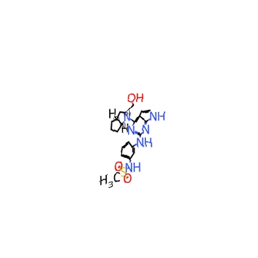 CS(=O)(=O)Nc1cccc(Nc2nc(N3[C@H](CO)C[C@@H]4CCC[C@@H]43)c3cc[nH]c3n2)c1